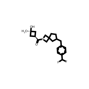 C[C@]1(O)C[C@@H](C(=O)N2CC3(CCC(Cc4ccc(C(F)F)cc4)C3)C2)C1